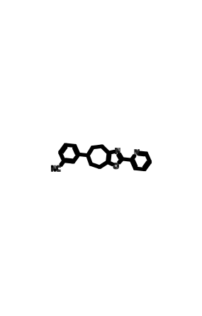 N#Cc1cccc(C2CCc3nc(-c4ccccn4)oc3CC2)c1